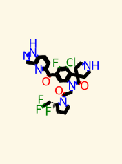 O=C(c1ccc2[nH]ncc2n1)c1cc2c(c(Cl)c1F)C1(CCNCC1)C(=O)N2CC(=O)N1CCC[C@@H]1CC(F)(F)F